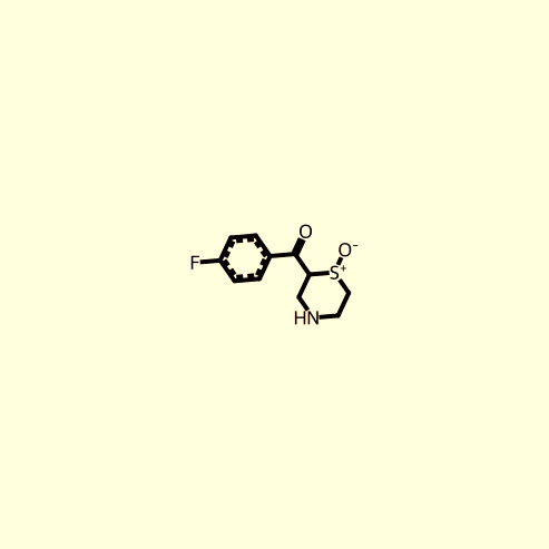 O=C(c1ccc(F)cc1)C1CNCC[S+]1[O-]